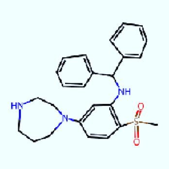 CS(=O)(=O)c1ccc(N2CCCNCC2)cc1NC(c1ccccc1)c1ccccc1